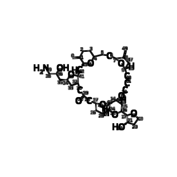 C=C1CCC2CCC3O[C@@H](CCCO[C@@H]4CC(C5OCC[C@H]5O)O[C@H]5CCC(CC(=O)CC6C[C@@H](CC(O)CN)O[C@H]6CC1O2)O[C@@H]54)CC3=C